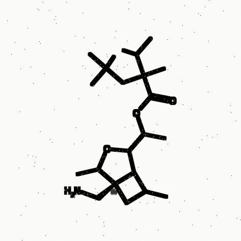 CC1C[C@]2(CN)C(C)OC(C(C)OC(=O)C(C)(CC(C)(C)C)C(C)C)C12